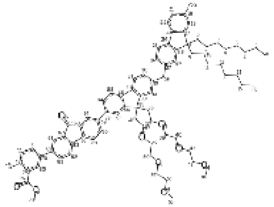 CCCCCCCCC1(CCCCCCCC)c2cc(C)ccc2-c2ccc(Cc3ccc4c(c3)C(CCOCCOCCOC)(CCOCCOCCOC)c3cc(-c5ccc6c(c5)C(=O)c5cc(-c7ccc(C)c(C(=O)OC)c7)ccc5-6)ccc3-4)cc21